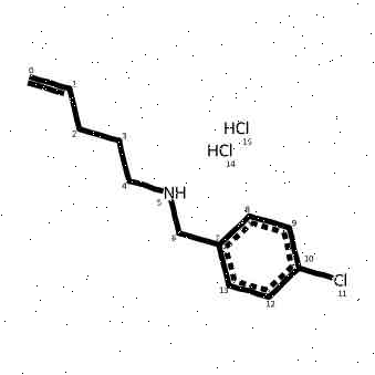 C=CCCCNCc1ccc(Cl)cc1.Cl.Cl